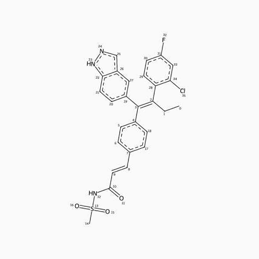 CCC(=C(c1ccc(C=CC(=O)NS(C)(=O)=O)cc1)c1ccc2[nH]ncc2c1)c1ccc(F)cc1Cl